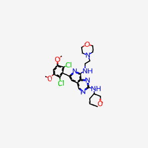 COc1cc(OC)c(Cl)c(-c2cc3cnc(NC4CCCOC4)nc3c(NCCN3CCOCC3)n2)c1Cl